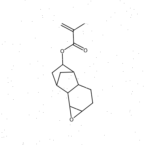 C=C(C)C(=O)OC1CC2CC1C1CCC3OC3C21